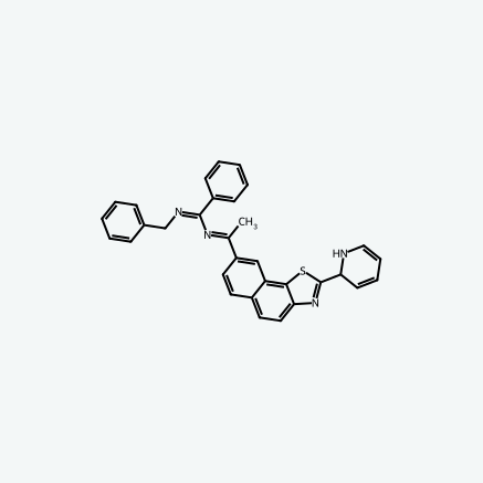 C/C(=N\C(=N/Cc1ccccc1)c1ccccc1)c1ccc2ccc3nc(C4C=CC=CN4)sc3c2c1